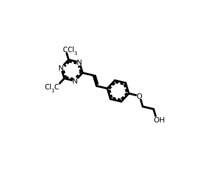 OCCOc1ccc(C=Cc2nc(C(Cl)(Cl)Cl)nc(C(Cl)(Cl)Cl)n2)cc1